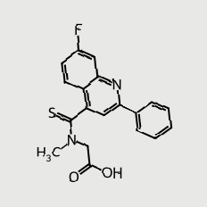 CN(CC(=O)O)C(=S)c1cc(-c2ccccc2)nc2cc(F)ccc12